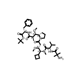 CO[C@H]([C@@H](C)C(=O)N[C@@H](Cc1ccccc1)C(=O)OC(C)(C)C)[C@@H]1CCCN1C(=O)C[C@@H](OC)[C@H](C1CCC1)N(C)C(=O)[C@@H](NC(=O)C(C)(C)N)C(C)C